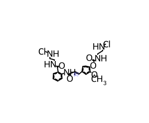 COc1cc(/C=C/C(=O)Nc2ccccc2C(=O)NCCNCl)ccc1OC(=O)NCCNCl